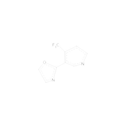 FC(F)(F)c1ccncc1-c1ncco1